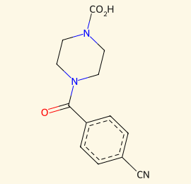 N#Cc1ccc(C(=O)N2CCN(C(=O)O)CC2)cc1